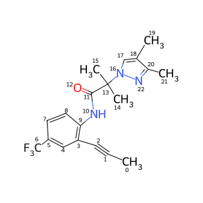 CC#Cc1cc(C(F)(F)F)ccc1NC(=O)C(C)(C)n1cc(C)c(C)n1